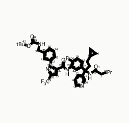 CC(C)CC(=O)NC(CCC1CC1)(c1cccnc1)c1ccc(F)c(NC(=O)c2cc(C(F)(F)F)nn2-c2cccc(CNC(=O)OC(C)(C)C)c2)c1